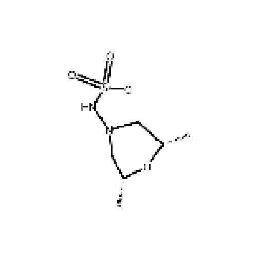 C[C@@H]1CN(NS(=O)(=O)Cl)C[C@H](C)O1